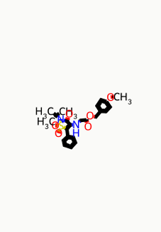 COc1ccc(COC(=O)CNC2=C(c3ccccc3)S(=O)(=O)N(C(C)(C)C)C2=O)cc1